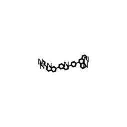 c1cnc2c(c1)cc(-c1ccc(-c3ccc4cc(-c5ccc6ccc(-c7ccncn7)nc6c5)ccc4n3)cc1)c1cccnc12